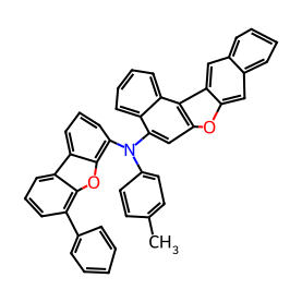 Cc1ccc(N(c2cc3oc4cc5ccccc5cc4c3c3ccccc23)c2cccc3c2oc2c(-c4ccccc4)cccc23)cc1